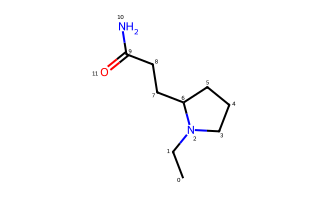 CCN1CCCC1CCC(N)=O